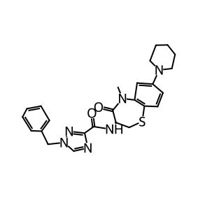 CN1C(=O)[C@@H](NC(=O)c2ncn(Cc3ccccc3)n2)CSc2ccc(N3CCCCC3)cc21